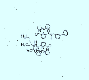 CCCCC(CC)[C@H](NC(=O)c1cc(-c2cc(C(=O)NCc3cccc(-c4ccccc4)c3)nc(C(=O)N3CCC[C@H]3CN3CCCC3)c2)cc(C(=O)N2CCC[C@H]2CN2CCCC2)n1)C(=O)O